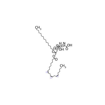 CCCCC/C=C\C/C=C\C/C=C\CCCCCCC(=O)OC[C@H](COP(=O)(O)OC[C@H](N)C(=O)O)OC(=O)CCCCCCCCCCCCCC